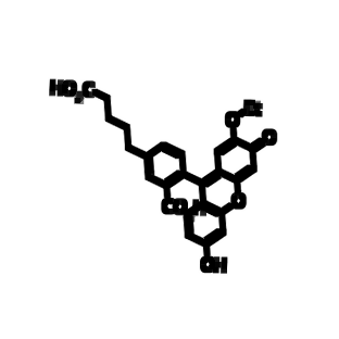 CCOc1cc2c(-c3ccc(CCCCC(=O)O)cc3C(=O)O)c3ccc(O)cc3oc-2cc1=O